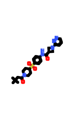 CC(C)(C)CC(=O)N1CCC(S(=O)(=O)c2ccc(NC(=O)C3CN(c4cccnn4)C3)cc2)CC1